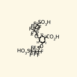 O=C(O)c1cc(OSC(F)(F)C(F)(F)C(F)(F)S(=O)(=O)O)cc(OSC(F)(F)C(F)(F)C(F)(F)S(=O)(=O)O)c1